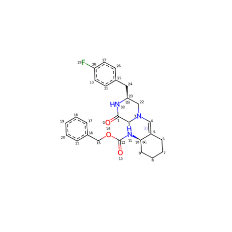 O=C1CN(/C=C2/CCCC[C@H]2NC(=O)OCc2ccccc2)C[C@H](Cc2ccc(F)cc2)N1